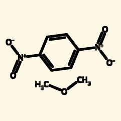 COC.O=[N+]([O-])c1ccc([N+](=O)[O-])cc1